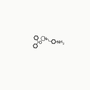 Nc1ccc(CCN2CCCC(OC(c3ccccc3)c3ccccc3)C2)cc1